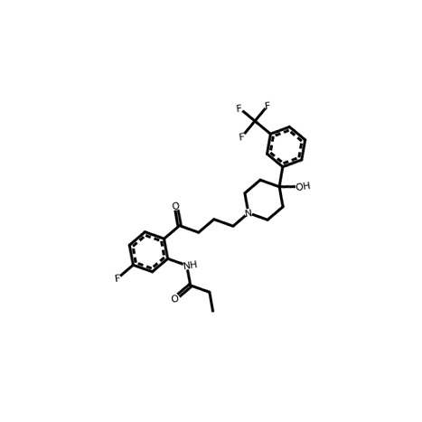 CCC(=O)Nc1cc(F)ccc1C(=O)CCCN1CCC(O)(c2cccc(C(F)(F)F)c2)CC1